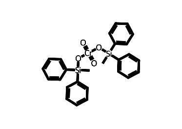 C[Si]([O][Cr](=[O])(=[O])[O][Si](C)(c1ccccc1)c1ccccc1)(c1ccccc1)c1ccccc1